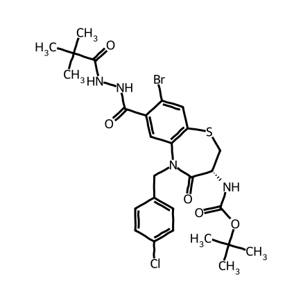 CC(C)(C)OC(=O)N[C@H]1CSc2cc(Br)c(C(=O)NNC(=O)C(C)(C)C)cc2N(Cc2ccc(Cl)cc2)C1=O